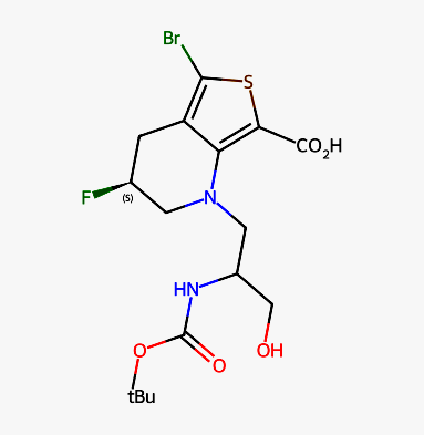 CC(C)(C)OC(=O)NC(CO)CN1C[C@@H](F)Cc2c(Br)sc(C(=O)O)c21